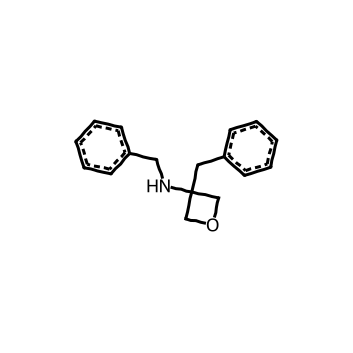 c1ccc(CNC2(Cc3ccccc3)COC2)cc1